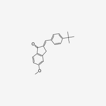 COc1ccc2c(c1)CC(=Cc1ccc(C(C)(C)C)cc1)C2=O